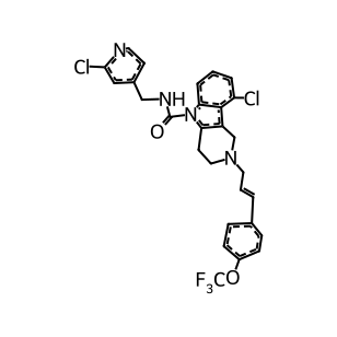 O=C(NCc1ccnc(Cl)c1)n1c2c(c3c(Cl)cccc31)CN(C/C=C/c1ccc(OC(F)(F)F)cc1)CC2